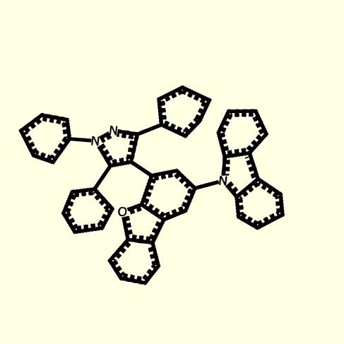 c1ccc(-c2nn(-c3ccccc3)c(-c3ccccc3)c2-c2cc(-n3c4ccccc4c4ccccc43)cc3c2oc2ccccc23)cc1